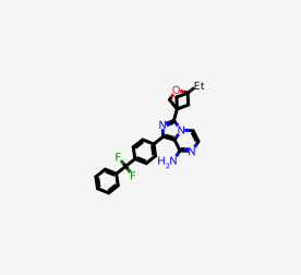 CCC12CC(c3nc(-c4ccc(C(F)(F)c5ccccc5)cc4)c4c(N)nccn34)(CO1)C2